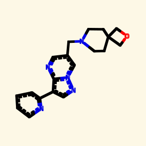 c1ccc(-c2cnn3cc(CN4CCC5(CC4)COC5)cnc23)nc1